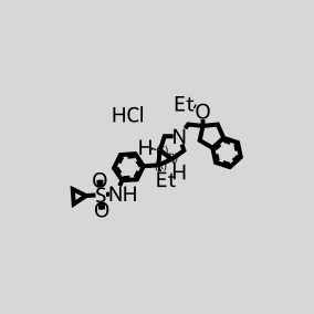 CCOC1(CN2C[C@@H]3[C@H](C2)[C@@]3(CC)c2cccc(NS(=O)(=O)C3CC3)c2)Cc2ccccc2C1.Cl